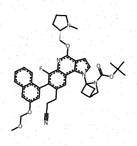 COCOc1cc(-c2c(CCC#N)cc3c(nc(OC[C@@H]4CCCN4C)c4ccn(C56CC(CN5C(=O)OC(C)(C)C)C6)c43)c2F)c2ccccc2c1